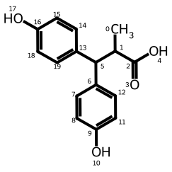 CC(C(=O)O)C(c1ccc(O)cc1)c1ccc(O)cc1